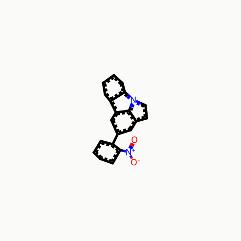 O=[N+]([O-])c1ccccc1-c1cc2ccn3c4ccccc4c(c1)c23